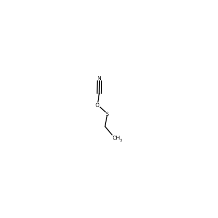 CCSOC#N